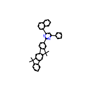 CC1(C)c2ccccc2-c2cc3c(cc21)-c1ccc(-c2nc(-c4ccccc4)cc(-c4cccc5ccccc45)n2)cc1C3(C)C